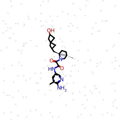 Cc1cc(NC(=O)C(=O)N2C[C@@H](C)CC[C@@H]2CC2CC3(CC(O)C3)C2)cnc1N